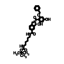 CC(C)(C)OC(=O)NCCCCCNC(=O)c1ccc2c(c1)CN(C(=O)c1c(O)cc(O)cc1OCc1ccccc1)C2